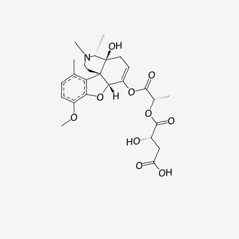 COc1ccc(C)c2c1O[C@H]1C(OC(=O)[C@H](C)OC(=O)[C@@H](O)CC(=O)O)=CC[C@@]3(O)[C@@H](C)N(C)CC[C@]213